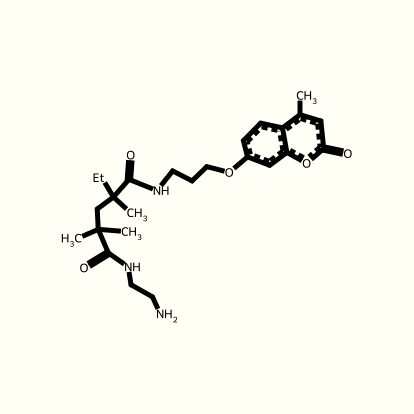 CCC(C)(CC(C)(C)C(=O)NCCN)C(=O)NCCCOc1ccc2c(C)cc(=O)oc2c1